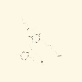 C=CCONCCc1cn(CC(OCCC#N)c2cc(F)ccc2OC)c(=O)n(C(C)C(=O)NC(C)C)c1=O